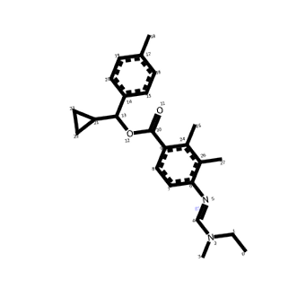 CCN(C)/C=N/c1ccc(C(=O)OC(c2ccc(C)cc2)C2CC2)c(C)c1C